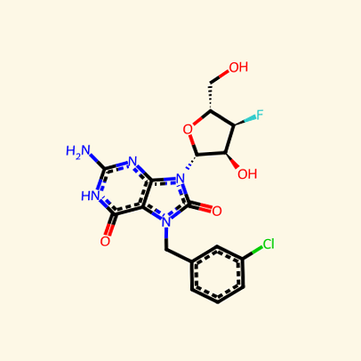 Nc1nc2c(c(=O)[nH]1)n(Cc1cccc(Cl)c1)c(=O)n2[C@@H]1O[C@H](CO)[C@@H](F)[C@H]1O